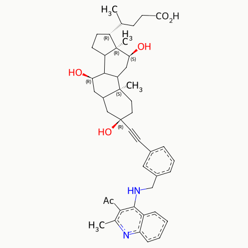 CC(=O)c1c(C)nc2ccccc2c1NCc1cccc(C#C[C@@]2(O)CC[C@@]3(C)C(C[C@@H](O)C4C3C[C@H](O)[C@@]3(C)C4CC[C@@H]3C(C)CCC(=O)O)C2)c1